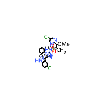 COc1cccc(OC)c1-n1c(NS(=O)(=O)[C@@H](C)[C@H](OC)c2ncc(Cl)cn2)nnc1-c1n[nH]c2ccc(Cl)cc12